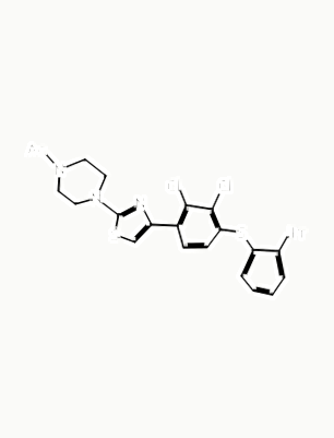 CC(=O)N1CCN(c2nc(-c3ccc(Sc4ccccc4C(C)C)c(Cl)c3Cl)cs2)CC1